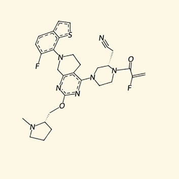 C=C(F)C(=O)N1CCN(c2nc(OC[C@@H]3CCCN3C)nc3c2CCN(c2c(F)ccc4ccsc24)C3)C[C@@H]1CC#N